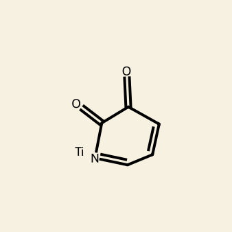 O=C1C=CC=NC1=O.[Ti]